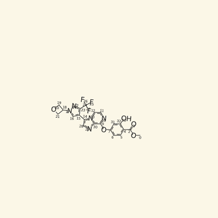 COC(=O)c1ccc(Oc2nccn3c(-c4cn(C5COC5)nc4C(F)(F)F)cnc23)cc1O